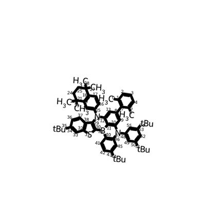 Cc1cccc(C)c1-c1cc2c3c(c1)N(c1ccc4c(c1)C(C)(C)CCC4(C)C)c1c(sc4cc(C(C)(C)C)ccc14)B3c1ccc(C(C)(C)C)cc1N2c1cc(C(C)(C)C)cc(C(C)(C)C)c1